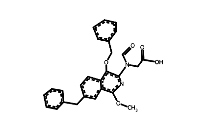 COc1nc(N(C=O)CC(=O)O)c(OCc2ccccc2)c2ccc(Cc3ccccc3)cc12